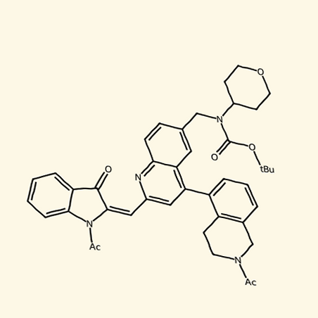 CC(=O)N1CCc2c(cccc2-c2cc(C=C3C(=O)c4ccccc4N3C(C)=O)nc3ccc(CN(C(=O)OC(C)(C)C)C4CCOCC4)cc23)C1